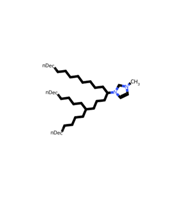 CCCCCCCCCCCCCCCCCCC(CCCC(CCCCCCCCCCCCCC)CCCCCCCCCCCCCC)N1C=CN(C)C1